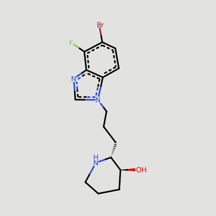 O[C@H]1CCCN[C@@H]1CCCn1cnc2c(F)c(Br)ccc21